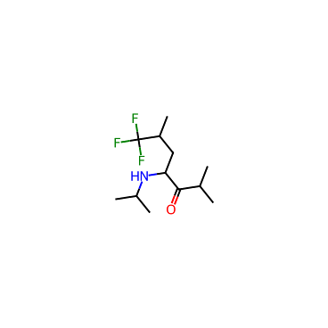 CC(C)NC(CC(C)C(F)(F)F)C(=O)C(C)C